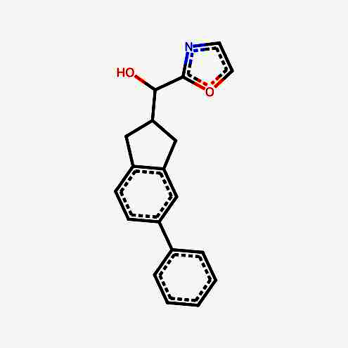 OC(c1ncco1)C1Cc2ccc(-c3ccccc3)cc2C1